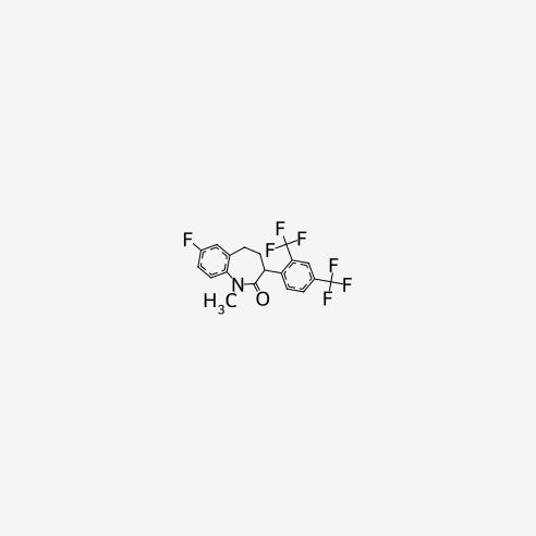 CN1C(=O)C(c2ccc(C(F)(F)F)cc2C(F)(F)F)CCc2cc(F)ccc21